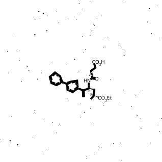 C=C(c1ccc(-c2ccccc2)cc1)[C@H](C[C@@H](C)C(=O)OCC)NC(=O)CCC(=O)O